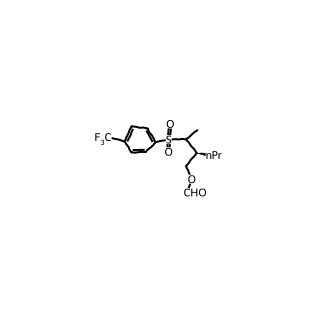 CCC[C@@H](COC=O)C(C)S(=O)(=O)c1ccc(C(F)(F)F)cc1